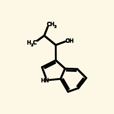 CC(C)C(O)c1c[nH]c2ccccc12